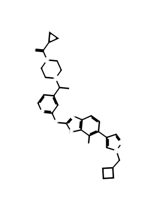 CC(c1ccnc(Nc2nc3ccc(-c4cnn(CC5CCC5)c4)c(F)c3[nH]2)c1)N1CCN(C(=O)C2CC2)CC1